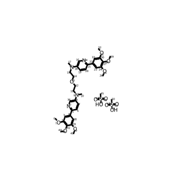 COc1cc(-c2ccc(N(C)CCOCCN(C)c3ccc(-c4cc(OC)c(OC)c(OC)c4)nc3)cn2)cc(OC)c1OC.CS(=O)(=O)O.CS(=O)(=O)O